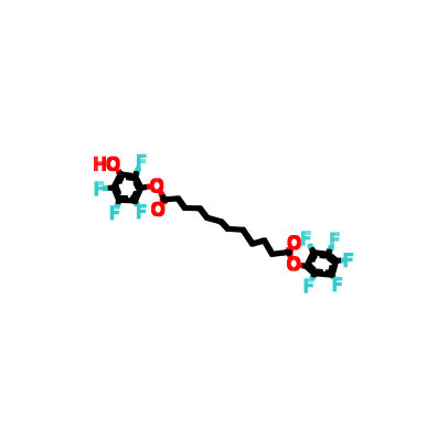 O=C(CCCCCCCCCCC(=O)Oc1c(F)c(F)c(F)c(F)c1F)Oc1c(F)c(O)c(F)c(F)c1F